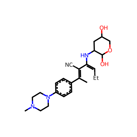 CC/C=C(NC1CC(O)COC1O)\C(C#N)=C(/C)c1ccc(N2CCN(C)CC2)cc1